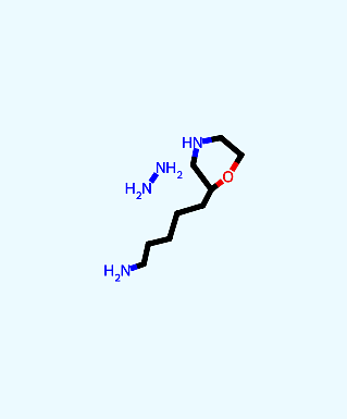 NCCCCCC1CNCCO1.NN